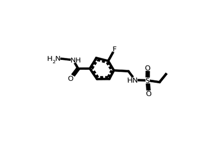 CCS(=O)(=O)NCc1ccc(C(=O)NN)cc1F